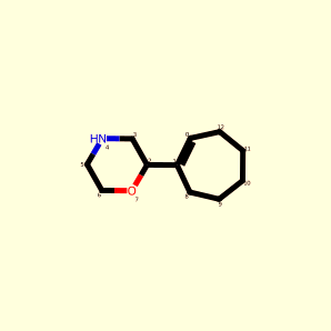 C1=C(C2CNCCO2)CCCCC1